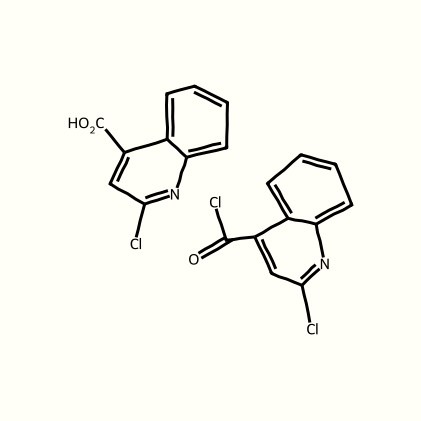 O=C(Cl)c1cc(Cl)nc2ccccc12.O=C(O)c1cc(Cl)nc2ccccc12